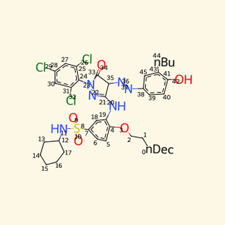 CCCCCCCCCCCCOc1ccc(S(=O)(=O)NC2CCCCC2)cc1NC1=NN(c2c(Cl)cc(Cl)cc2Cl)C(=O)C1N=Nc1ccc(O)c(CCCC)c1